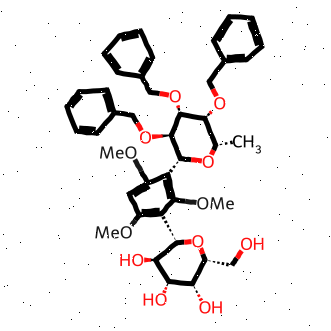 COc1cc(OC)c([C@@H]2O[C@H](CO)[C@H](O)[C@H](O)[C@H]2O)c(OC)c1[C@H]1O[C@@H](C)[C@@H](OCc2ccccc2)[C@@H](OCc2ccccc2)[C@@H]1OCc1ccccc1